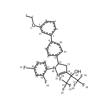 CCOc1cccc(-c2ccc(C3CC(C(O)(C(F)(F)F)C(F)(F)F)=NN3c3ccc(F)cc3F)cc2)c1